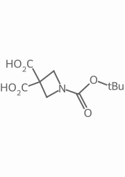 CC(C)(C)OC(=O)N1CC(C(=O)O)(C(=O)O)C1